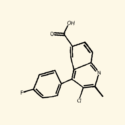 Cc1nc2ccc(C(=O)O)cc2c(-c2ccc(F)cc2)c1Cl